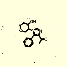 CC(=O)c1ncn(C2COCCC2O)c1-c1ccccc1